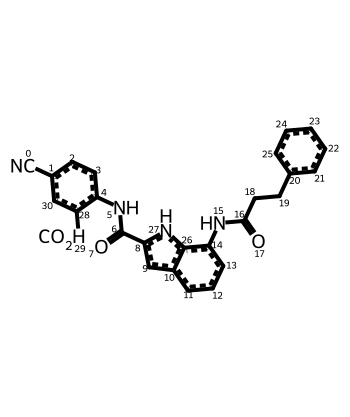 N#Cc1ccc(NC(=O)c2cc3cccc(NC(=O)CCc4ccccc4)c3[nH]2)c(C(=O)O)c1